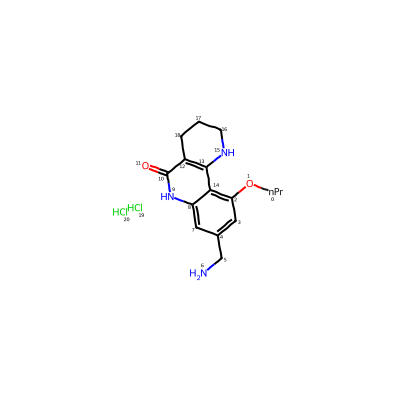 CCCOc1cc(CN)cc2[nH]c(=O)c3c(c12)NCCC3.Cl.Cl